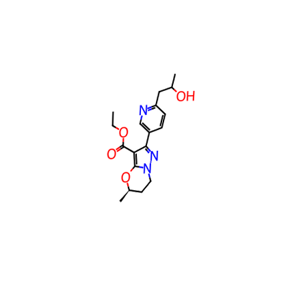 CCOC(=O)c1c(-c2ccc(CC(C)O)nc2)nn2c1O[C@H](C)CC2